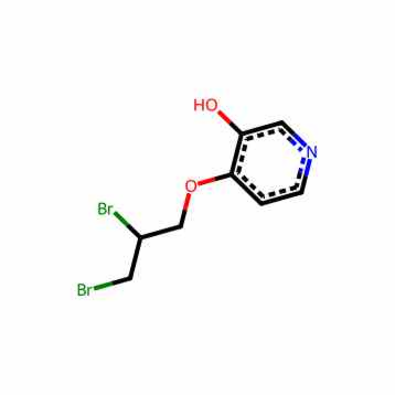 Oc1cnccc1OCC(Br)CBr